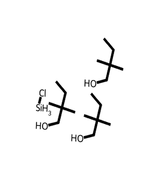 CCC(C)(C)CO.CCC(C)(C)CO.CCC(C)(C)CO.[SiH3]Cl